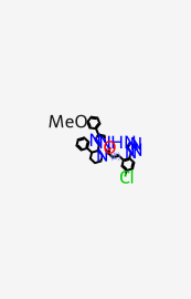 COc1cccc(-c2c[nH]c(C3C(c4ccccc4)CCCN3C(=O)/C=C/c3cc(Cl)ccc3-n3cnnn3)n2)c1